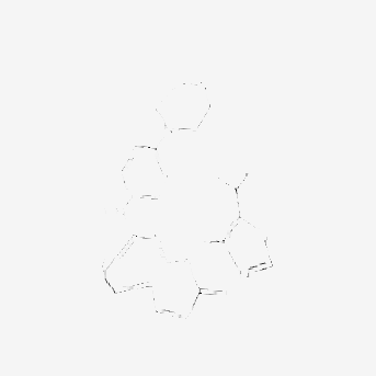 CN1CCN(c2ccc(Nc3ncc4ccc(=O)n(Cc5ncsc5C5CC5)c4n3)cc2)CC1